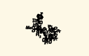 CCC(C(=O)Nc1sc(C(=O)NCCNC(=O)[C@@H](NC(=O)[C@@H](NC(=O)[C@@H](NC(=O)[C@@H](N)C(C)C)C(C)C)C(C)C)C(C)C)c(C)c1C(=O)OC)c1ccc(F)cc1